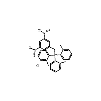 Cc1ccccc1[P+](Cc1cc([N+](=O)[O-])cc([N+](=O)[O-])c1)(c1ccccc1C)c1ccccc1C.[Cl-]